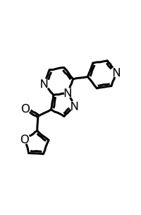 O=C(c1ccco1)c1cnn2c(-c3ccncc3)ccnc12